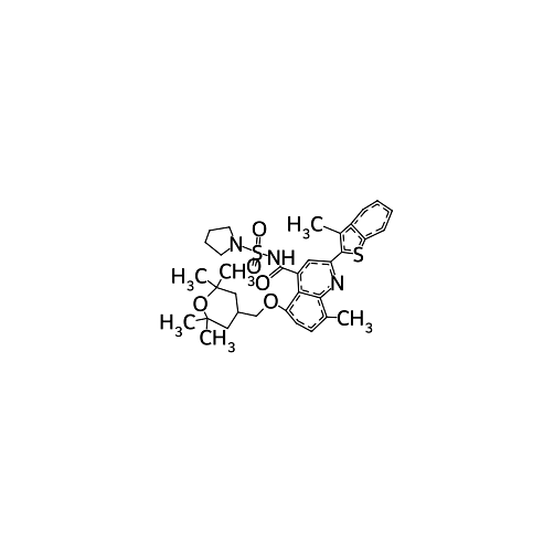 Cc1c(-c2cc(C(=O)NS(=O)(=O)N3CCCC3)c3c(OCC4CC(C)(C)OC(C)(C)C4)ccc(C)c3n2)sc2ccccc12